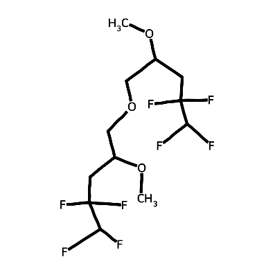 COC(COCC(CC(F)(F)C(F)F)OC)CC(F)(F)C(F)F